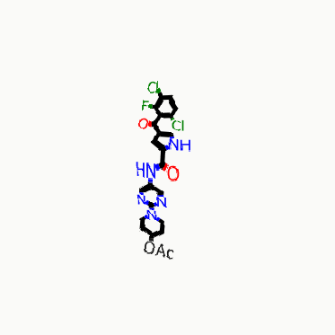 CC(=O)OC1CCN(c2ncc(NC(=O)c3cc(C(=O)c4c(Cl)ccc(Cl)c4F)c[nH]3)cn2)CC1